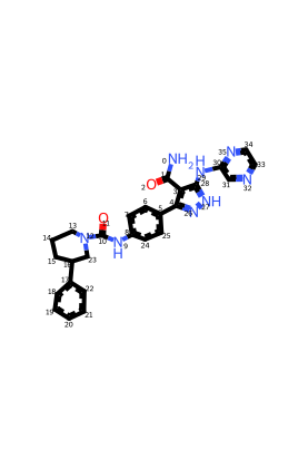 NC(=O)c1c(-c2ccc(NC(=O)N3CCCC(c4ccccc4)C3)cc2)n[nH]c1Nc1cnccn1